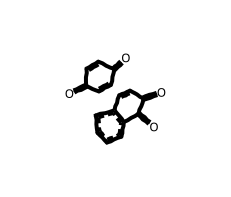 O=C1C=CC(=O)C=C1.O=C1C=Cc2ccccc2C1=O